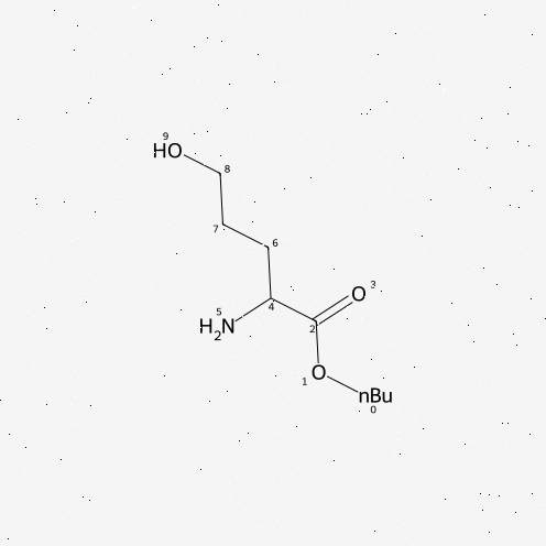 CCCCOC(=O)C(N)CCCO